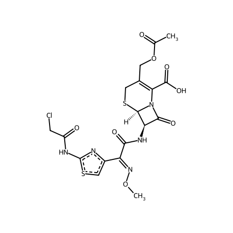 CON=C(C(=O)N[C@@H]1C(=O)N2C(C(=O)O)=C(COC(C)=O)CS[C@H]12)c1csc(NC(=O)CCl)n1